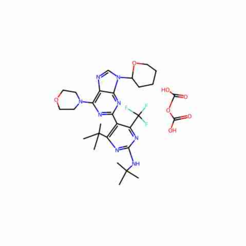 CC(C)(C)Nc1nc(C(C)(C)C)c(-c2nc(N3CCOCC3)c3ncn(C4CCCCO4)c3n2)c(C(F)(F)F)n1.O=C(O)OC(=O)O